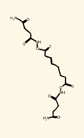 NC(=O)CCC(=O)NOC(=O)CCCCCCC(=O)ONC(=O)CCC(N)=O